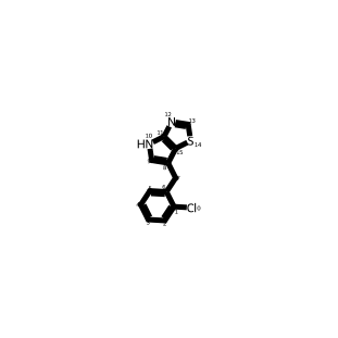 Clc1ccccc1Cc1c[nH]c2ncsc12